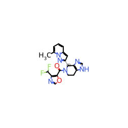 Cc1cccc2cc([C@@H]3c4nc[nH]c4CCN3C(=O)c3ocnc3C(F)F)nn12